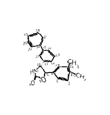 Cc1ccc(C2OC(=O)N[C@@H]2c2cccc(-c3ccccc3)c2)cc1C